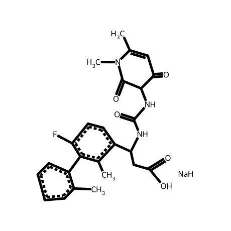 CC1=CC(=O)C(NC(=O)NC(CC(=O)O)c2ccc(F)c(-c3ccccc3C)c2C)C(=O)N1C.[NaH]